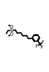 CC[Si](CCCCCCc1cccc(C(F)(F)F)c1)(OC)OC